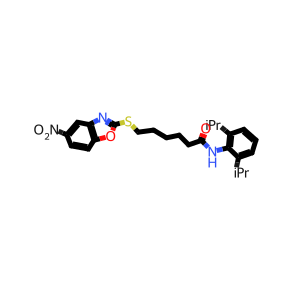 CC(C)c1cccc(C(C)C)c1NC(=O)CCCCCSc1nc2cc([N+](=O)[O-])ccc2o1